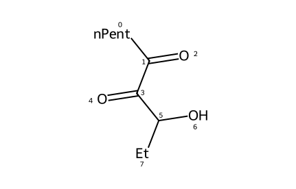 CCCCCC(=O)C(=O)C(O)CC